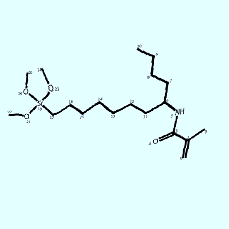 C=C(C)C(=O)NC(CCCC)CCCCCCC[Si](OC)(OC)OC